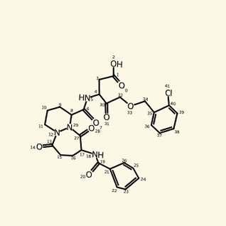 O=C(O)CC(NC(=O)C1CCCN2C(=O)CCC(NC(=O)c3ccccc3)C(=O)N12)C(=O)COCc1ccccc1Cl